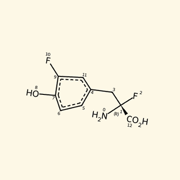 N[C@@](F)(Cc1ccc(O)c(F)c1)C(=O)O